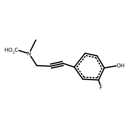 CN(CC#Cc1ccc(O)c(F)c1)C(=O)O